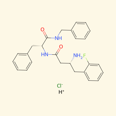 N[C@@H](CC(=O)N[C@H](Cc1ccccc1)C(=O)NCc1ccccc1)Cc1ccccc1F.[Cl-].[H+]